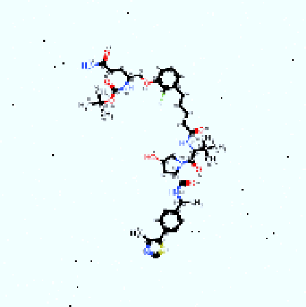 Cc1ncsc1-c1ccc([C@H](C)NC(=O)[C@@H]2C[C@@H](O)CN2C(=O)[C@@H](NC(=O)CCCCc2cccc(OC[C@H](CCC(N)=O)NC(=O)OC(C)(C)C)c2F)C(C)(C)C)cc1